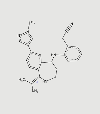 C/C(N)=C1/NCCC(Nc2ccccc2CC#N)c2cc(-c3cnn(C)c3)ccc21